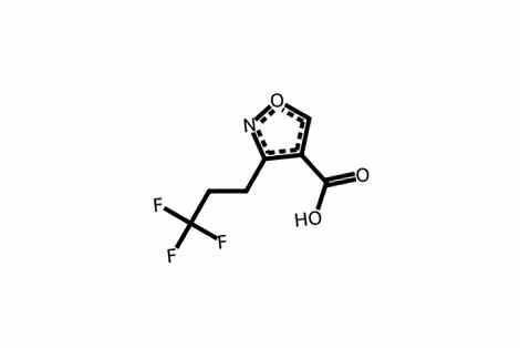 O=C(O)c1conc1CCC(F)(F)F